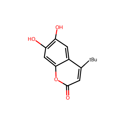 CC(C)(C)c1cc(=O)oc2cc(O)c(O)cc12